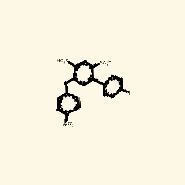 O=[N+]([O-])c1ccc([CH]c2cc(-c3ccc(I)cc3)c(S(=O)(=O)O)cc2S(=O)(=O)O)cc1